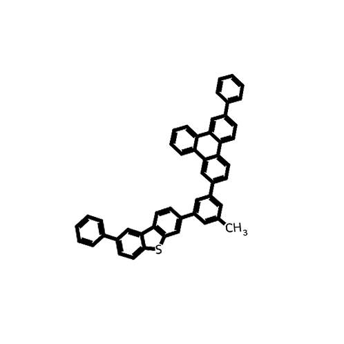 Cc1cc(-c2ccc3c(c2)sc2ccc(-c4ccccc4)cc23)cc(-c2ccc3c4ccc(-c5ccccc5)cc4c4ccccc4c3c2)c1